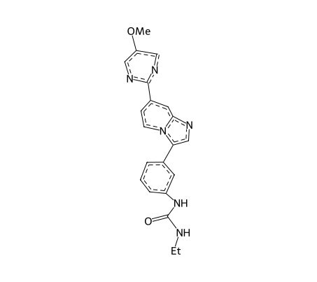 CCNC(=O)Nc1cccc(-c2cnc3cc(-c4ncc(OC)cn4)ccn23)c1